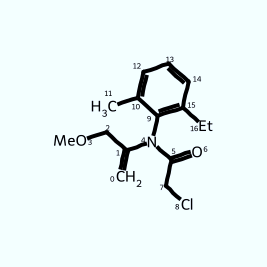 C=C(COC)N(C(=O)CCl)c1c(C)cccc1CC